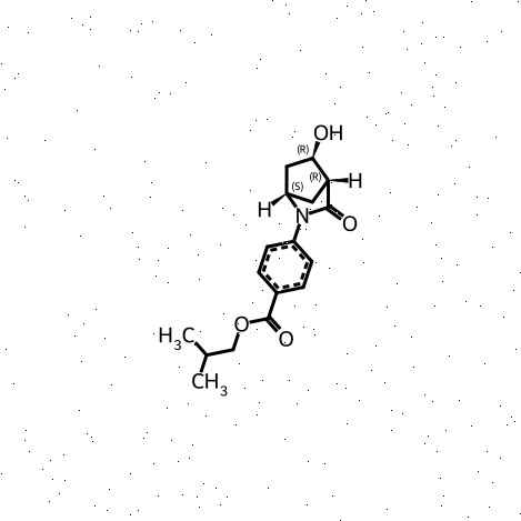 CC(C)COC(=O)c1ccc(N2C(=O)[C@@H]3C[C@H]2C[C@H]3O)cc1